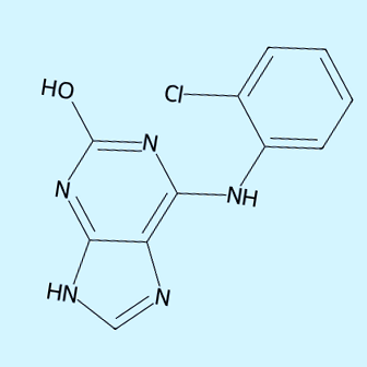 Oc1nc(Nc2ccccc2Cl)c2nc[nH]c2n1